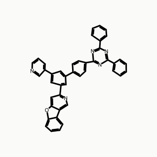 c1ccc(-c2nc(-c3ccccc3)nc(-c3ccc(-c4cc(-c5cccnc5)cc(-c5cc6oc7ccccc7c6cn5)c4)cc3)n2)cc1